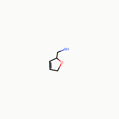 [NH]CC1C=CCO1